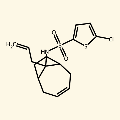 C=CCC1(NS(=O)(=O)c2ccc(Cl)s2)C2CC=CCC1CC2